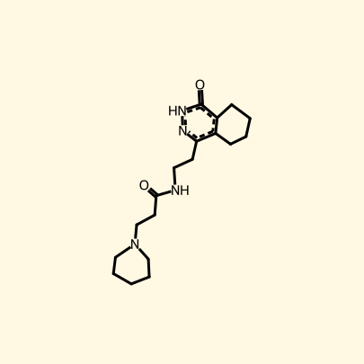 O=C(CCN1CCCCC1)NCCc1n[nH]c(=O)c2c1CCCC2